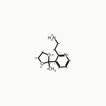 CC1(c2cccnc2CCN)OCCO1